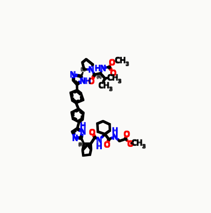 COC(=O)CNC(=O)C1(NC(=O)C2C3CCC(C3)[C@H]2c2ncc(-c3ccc(-c4ccc(-c5cnc([C@@H]6CCCN6C(=O)[C@@H](NC(=O)OC)C(C)C)[nH]5)cc4)cc3)[nH]2)CCCCC1